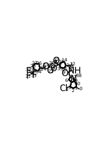 Cc1cc(Cl)c2cc(C(=O)N[C@H](C)c3ccc(S(=O)(=O)CC(=O)OCc4cccc(C(F)(F)F)c4)cc3)n(C)c2c1